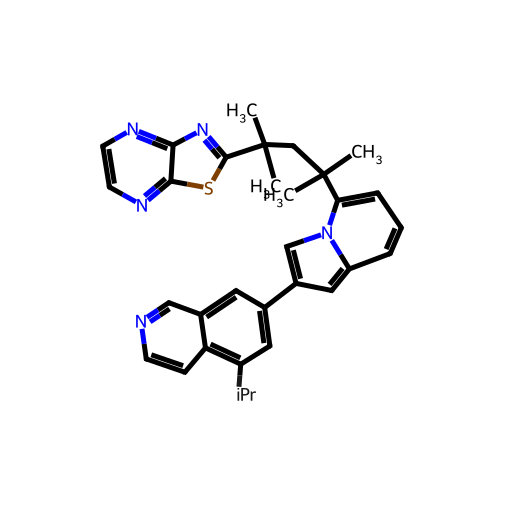 CC(C)c1cc(-c2cc3cccc(C(C)(C)CC(C)(C)c4nc5nccnc5s4)n3c2)cc2cnccc12